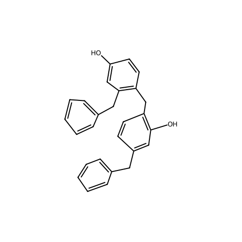 Oc1ccc(Cc2ccc(Cc3ccccc3)cc2O)c(Cc2ccccc2)c1